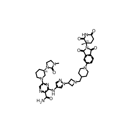 CN1CCN([C@@H]2CCCN(c3cnc(C(N)=O)c(Nc4cnn(C5CN(CC6CCN(c7ccc8c(c7)C(=O)N([C@@]7(C)CCC(=O)NC7=O)C8=O)CC6)C5)c4)n3)C2)C1=O